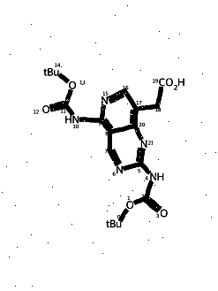 CC(C)(C)OC(=O)Nc1ncc2c(NC(=O)OC(C)(C)C)ncc(CC(=O)O)c2n1